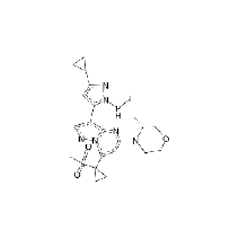 C[C@@H]1COCCN1c1cc(C2(S(C)(=O)=O)CC2)n2ncc(-c3cc(C4CC4)nn3PI)c2n1